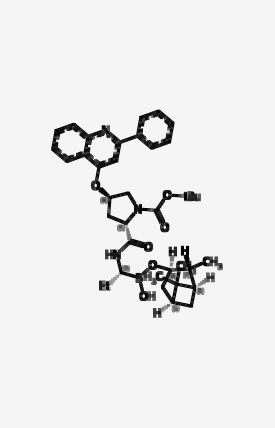 CC[C@H](NC(=O)[C@@H]1C[C@@H](Oc2cc(-c3ccccc3)nc3ccccc23)CN1C(=O)OC(C)(C)C)B(O)O[C@@H]1C[C@@H]2C[C@H]([C@H]1C)C2(C)C